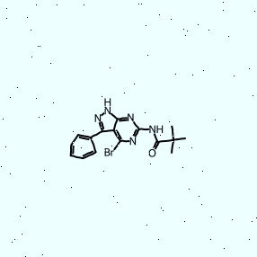 CC(C)(C)C(=O)Nc1nc(Br)c2c(-c3ccccc3)n[nH]c2n1